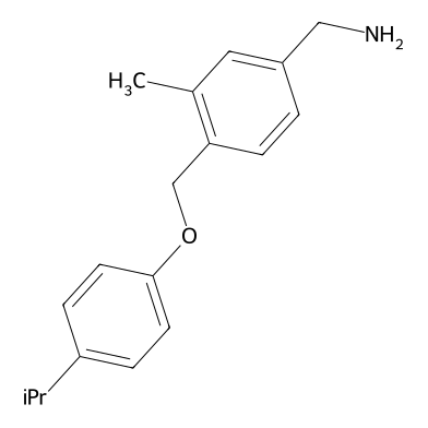 Cc1cc(CN)ccc1COc1ccc(C(C)C)cc1